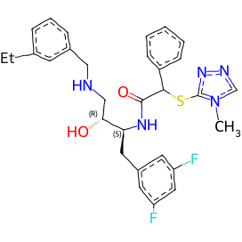 CCc1cccc(CNC[C@@H](O)[C@H](Cc2cc(F)cc(F)c2)NC(=O)C(Sc2nncn2C)c2ccccc2)c1